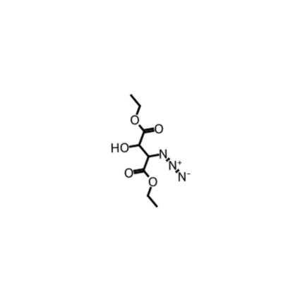 CCOC(=O)C(O)C(N=[N+]=[N-])C(=O)OCC